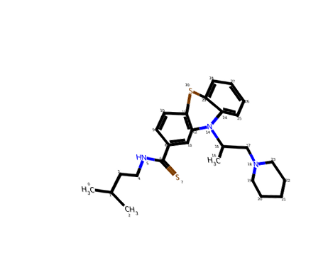 CC(C)CCNC(=S)c1ccc2c(c1)N(C(C)CN1CCCCC1)c1ccccc1S2